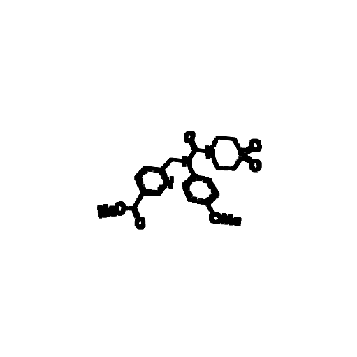 COC(=O)c1ccc(CN(C(=O)N2CCS(=O)(=O)CC2)c2ccc(OC)cc2)nc1